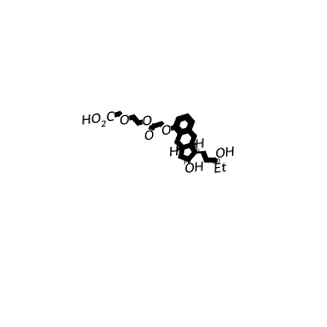 CC[C@H](O)CC[C@@H]1[C@H]2Cc3cccc(OCC(=O)OCCOCC(=O)O)c3C[C@H]2C[C@H]1O